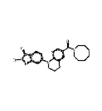 CCn1nc2cc(N3CCCc4cc(C(=O)N5CCCCCCC5)cnc43)ccn2c1=O